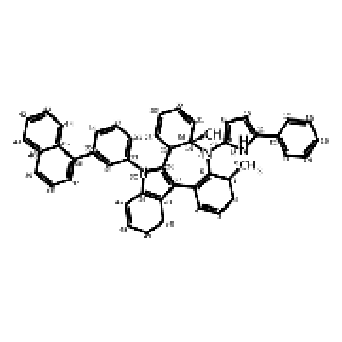 CC1CC=CC2=C1N(c1ccc(-c3ccccc3)[nH]1)[C@@]1(C)C=CC=CC1c1c2c2c(n1-c1cccc(-c3cccc4ccccc34)c1)C=CCC2